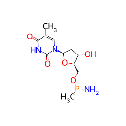 Cc1cn([C@H]2C[C@H](O)[C@@H](COP(C)N)O2)c(=O)[nH]c1=O